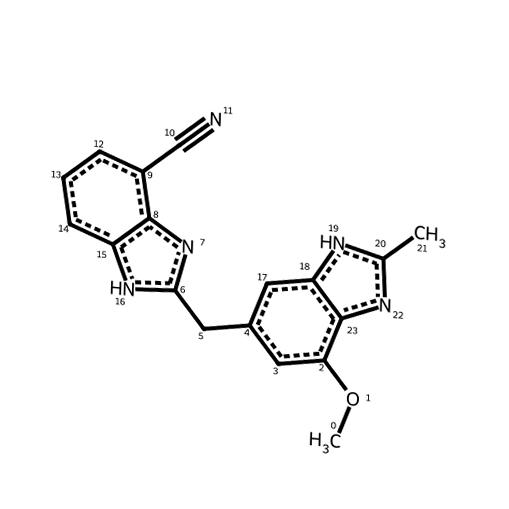 COc1cc(Cc2nc3c(C#N)cccc3[nH]2)cc2[nH]c(C)nc12